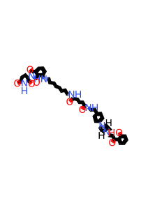 O=C(CCCC(=O)NCCc1ccc(N2C[C@@H]3C[C@H]2CN3/C=C/C(=O)c2ccccc2O)cc1)NCCCCCCCCNc1cccc2c1C(=O)N(C1CCC(=O)NC1=O)C2=O